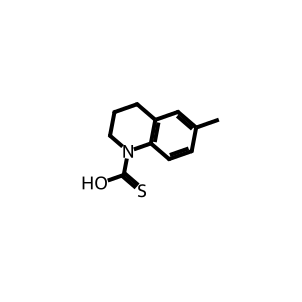 Cc1ccc2c(c1)CCCN2C(O)=S